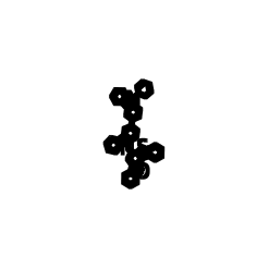 C1=CCC(n2c3ccccc3c3cc(-c4ccc5c(c4)c4ccccc4n5-c4cc5c6ccccc6oc5c5c4sc4ccccc45)ccc32)C=C1